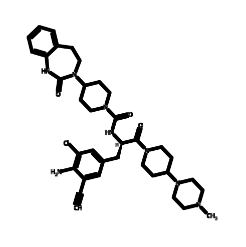 C#Cc1cc(C[C@@H](NC(=O)N2CCC(N3CCc4ccccc4NC3=O)CC2)C(=O)N2CCC(N3CCN(C)CC3)CC2)cc(Cl)c1N